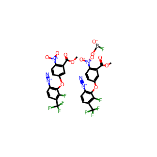 COC(=O)c1cc(Oc2c([N+]#N)ccc(C(F)(F)F)c2F)ccc1[N+](=O)[O-].COC(=O)c1cc(Oc2c([N+]#N)ccc(C(F)(F)F)c2F)ccc1[N+](=O)[O-].[O-]B([O-])F